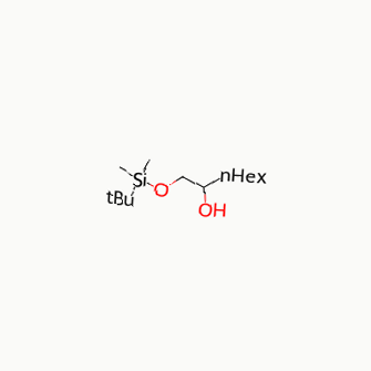 CCCCCCC(O)CO[Si](C)(C)C(C)(C)C